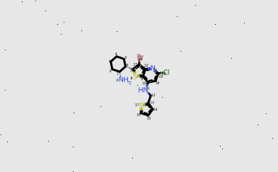 N[C@@H]1CCCC[C@@H]1c1sc2c(NCc3cccs3)cc(Cl)nc2c1Br